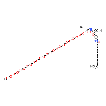 CCOCCOCCOCCOCCOCCOCCOCCOCCOCCOCCOCCOCCOCCOCCOCCOCCOCCOCCOCCOCCOCCOCCOCCOCCCC(=O)[C@H](CCC(=O)O)NC(=O)CC[C@H](CC(=O)[C@H]1CC[C@@H](CNC(=O)CCCCCCCCCCCCCCCCCCC(=O)O)CC1)C(=O)O